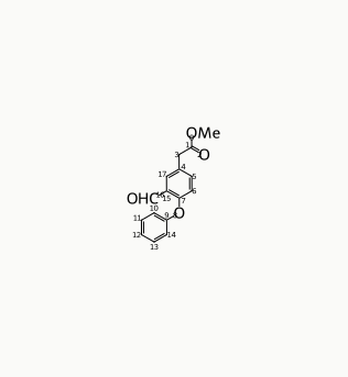 COC(=O)Cc1ccc(Oc2ccccc2)c(C=O)c1